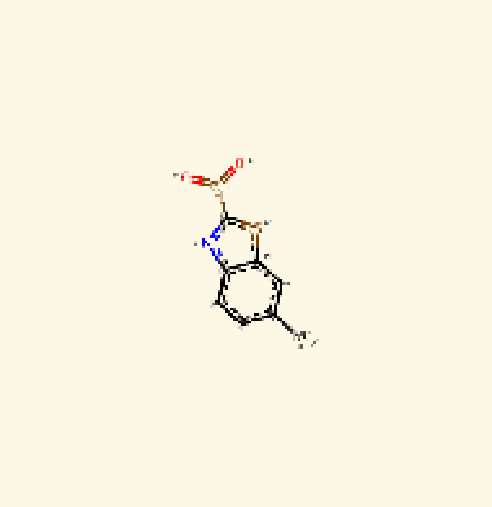 O=[N+]([O-])c1ccc2nc([SH](=O)=O)sc2c1